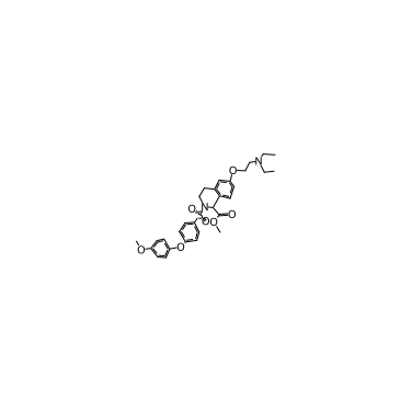 CCN(CC)CCOc1ccc2c(c1)CCN(S(=O)(=O)c1ccc(Oc3ccc(OC)cc3)cc1)C2C(=O)OC